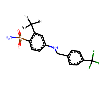 [2H]C([2H])([2H])c1cc(NCc2ccc(C(F)(F)F)cc2)ccc1S(N)(=O)=O